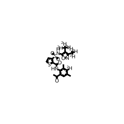 [2H]c1c(C)cc(C(C)=O)c(NC(=O)c2sccc2S(=O)(=O)Nc2onc(C([2H])([2H])[2H])c2C([2H])([2H])[2H])c1C